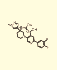 COC(=O)NC1(c2cn(C)nn2)CCCN(c2cnc(-c3ccc(F)c(F)c3)cc2CO)C1